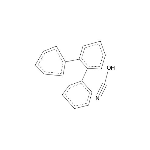 N#CO.c1ccc(-c2ccccc2-c2ccccc2)cc1